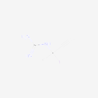 C#CC(C)(I)NC(=N)N